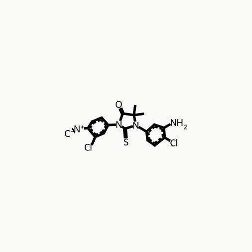 [C-]#[N+]c1ccc(N2C(=O)C(C)(C)N(c3ccc(Cl)c(N)c3)C2=S)cc1Cl